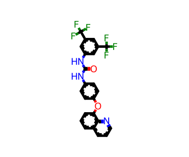 O=C(Nc1ccc(Oc2cccc3cccnc23)cc1)Nc1cc(C(F)(F)F)cc(C(F)(F)F)c1